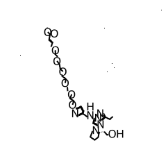 CCc1cnn2c(NCc3ccc(OCCOCCOCCOCCOCCOC/C=C/C(=O)OC)nc3)cc(N3CCCC[C@H]3CCO)nc12